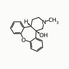 CN1CC[C@H]2c3ccccc3Oc3ccccc3[C@@]2(O)C1